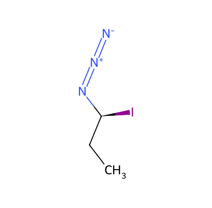 CC[C@H](I)N=[N+]=[N-]